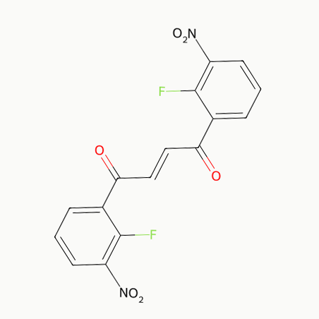 O=C(C=CC(=O)c1cccc([N+](=O)[O-])c1F)c1cccc([N+](=O)[O-])c1F